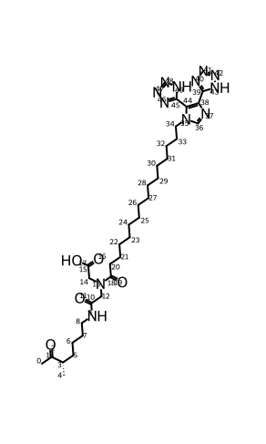 CC(=O)[C@@H](C)CCCCNC(=O)CN(CC(=O)O)C(=O)CCCCCCCCCCCCCCCn1cnc(-c2nnn[nH]2)c1-c1nnn[nH]1